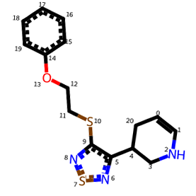 C1=CNCC(c2nsnc2SCCOc2ccccc2)C1